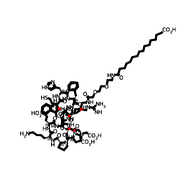 CC(=O)N[C@@H](CCS)C(=O)N[C@@H](Cc1c[nH]cn1)C(=O)N[C@H](Cc1ccccc1)C(=O)N[C@@H](CCCNC(=N)N)C(=O)N[C@@H](Cc1c[nH]c2ccccc12)C(=O)N[C@@H](CS)C(=O)N1CCC[C@H]1C(=O)N1CCC[C@H]1C(=O)N[C@@H](CCCCN)C(=O)N[C@@H](CCC(=O)O)C(=O)N[C@@H](CCCCN(CC(=O)O)CC(=O)O)C(=O)N[C@@H](CCCCNC(=O)COCCOCCNC(=O)CCCCCCCCCCCCCCC(=O)O)C(N)=O